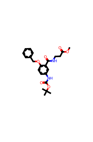 COC(=O)CCNC(=O)c1cc(NC(=O)OC(C)(C)C)ccc1OCc1ccccc1